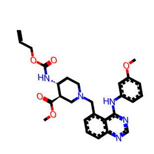 C=CCOC(=O)N[C@@H]1CCN(Cc2cccc3ncnc(Nc4cccc(OC)c4)c23)C[C@H]1C(=O)OC